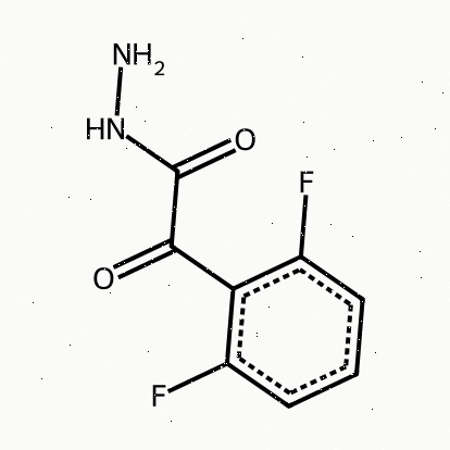 NNC(=O)C(=O)c1c(F)cccc1F